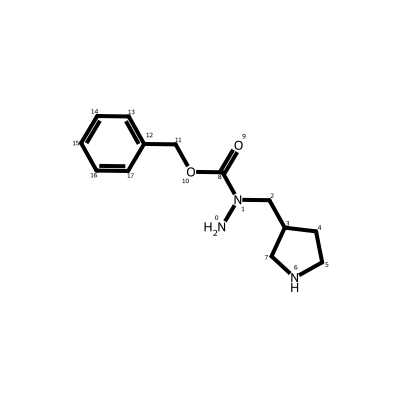 NN(CC1CCNC1)C(=O)OCc1ccccc1